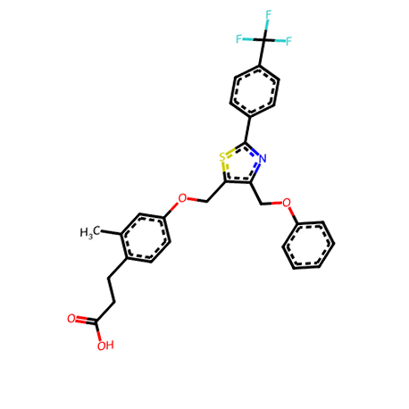 Cc1cc(OCc2sc(-c3ccc(C(F)(F)F)cc3)nc2COc2ccccc2)ccc1CCC(=O)O